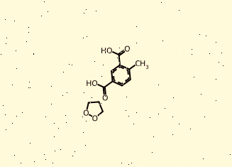 C1COOC1.Cc1ccc(C(=O)O)cc1C(=O)O